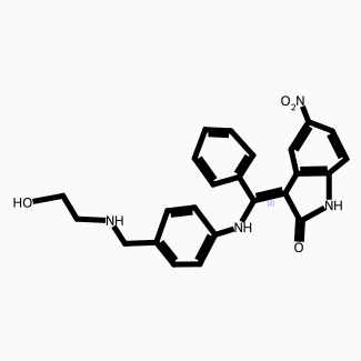 O=C1Nc2ccc([N+](=O)[O-])cc2/C1=C(/Nc1ccc(CNCCO)cc1)c1ccccc1